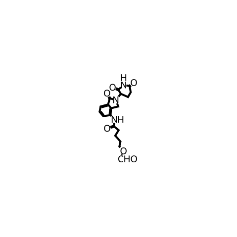 O=COCCCCC(=O)Nc1cccc2c1CN(C1CCC(=O)NC1=O)C2=O